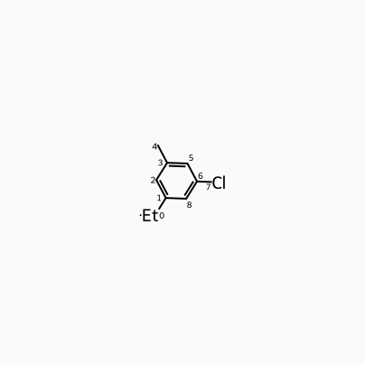 C[CH]c1cc(C)cc(Cl)c1